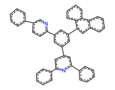 c1ccc(-c2ccc(-c3cc(-c4cc(-c5ccccc5)nc(-c5ccccc5)c4)cc(-c4cc5ccccc5c5ccccc45)c3)nc2)cc1